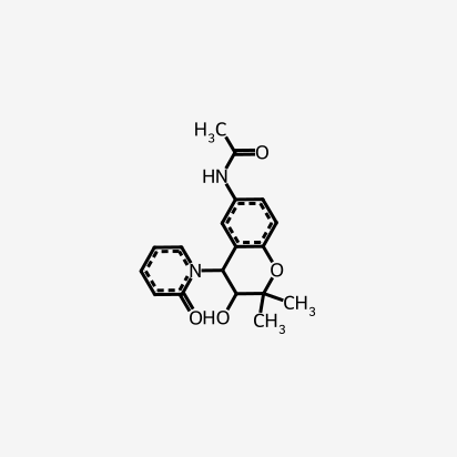 CC(=O)Nc1ccc2c(c1)C(n1ccccc1=O)C(O)C(C)(C)O2